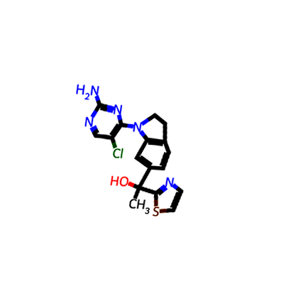 CC(O)(c1ccc2c(c1)N(c1nc(N)ncc1Cl)CC2)c1nccs1